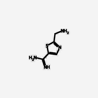 N=C(N)c1cnc(CN)s1